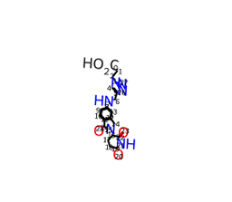 O=C(O)CCn1cc(CNc2ccc3c(c2)CN(C2CCC(=O)NC2=O)C3=O)nn1